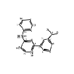 CC(C)c1cccc(-c2cc(Nc3ccccc3)ncn2)c1